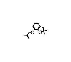 C=C(C)COc1cccc2c1OC(C)(C)C2